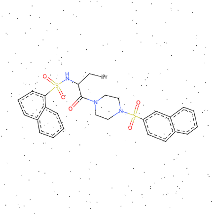 CC(C)CC(NS(=O)(=O)c1cccc2ccccc12)C(=O)N1CCN(S(=O)(=O)c2ccc3ccccc3c2)CC1